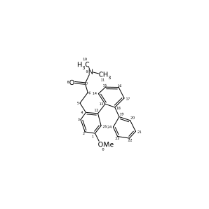 COc1ccc(CCC(=O)N(C)C)c(-c2ccccc2-c2ccccc2)c1